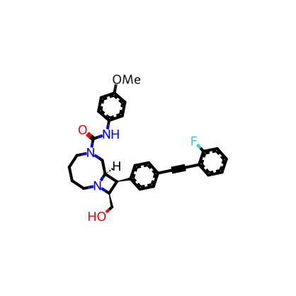 COc1ccc(NC(=O)N2CCCCN3[C@H](CO)[C@H](c4ccc(C#Cc5ccccc5F)cc4)[C@@H]3C2)cc1